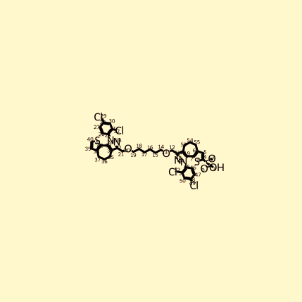 O=S(=O)(O)c1cc2c(s1)-c1c(c(COCCCCCCOCc3nn(-c4ccc(Cl)cc4Cl)c4c3CCCc3ccsc3-4)nn1-c1ccc(Cl)cc1Cl)CCC2